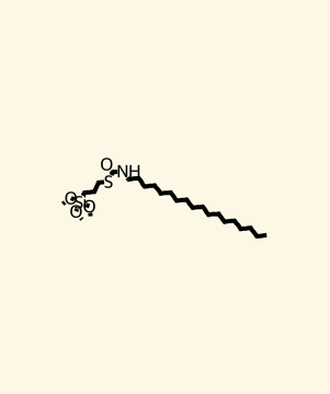 CCCCCCCCCCCCCCCCCCNC(=O)SCCC[Si](OC)(OC)OC